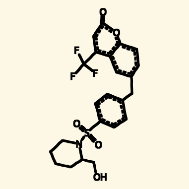 O=c1cc(C(F)(F)F)c2cc(Cc3ccc(S(=O)(=O)N4CCCCC4CO)cc3)ccc2o1